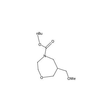 CCCCOC(=O)N1CCOCC(COC)C1